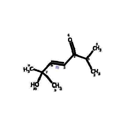 CC(C)C(=O)/C=C/C(C)(C)O